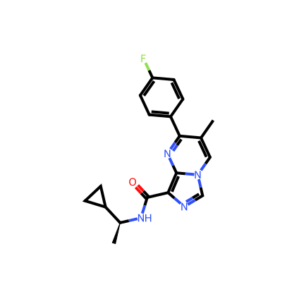 Cc1cn2cnc(C(=O)N[C@@H](C)C3CC3)c2nc1-c1ccc(F)cc1